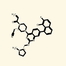 C=CC(=O)N1CCN(c2nc(OC[C@@H]3CCCN3C)nc3cc(-c4cccc5ccc(F)c(Cl)c45)ccc23)C[C@@H]1CC#N